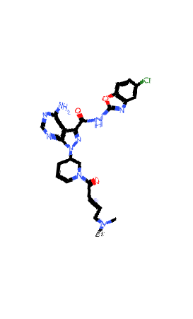 CCN(C)C/C=C/C(=O)N1CCCC(n2nc(C(=O)Nc3nc4cc(Cl)ccc4o3)c3c(N)ncnc32)C1